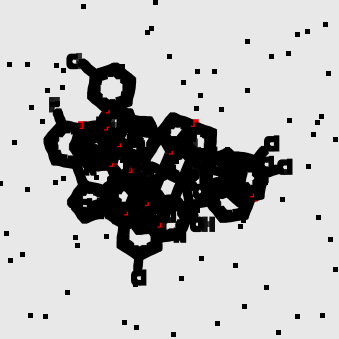 OC(OC(c1c(C(O)(c2cccnc2)c2c(-c3ccc(F)cc3Cl)ccn2-c2cccc(Cl)c2)ccnc1C(O)(c1cccnc1)c1c(-c2ccc(Cl)cc2)ccn1-c1cccc(Cl)c1)(c1c(-c2ccccc2F)ccn1-c1cccc(Cl)c1)C(O)(c1cccnc1)c1c(-c2ccccc2Cl)ccn1-c1cccc(Cl)c1)(c1cccnc1)c1c(-c2cccc(Cl)c2)ccn1-c1cccc(Cl)c1